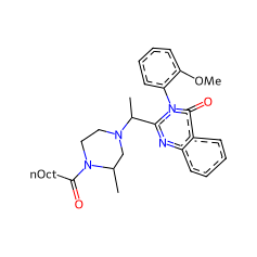 CCCCCCCCC(=O)N1CCN(C(C)c2nc3ccccc3c(=O)n2-c2ccccc2OC)CC1C